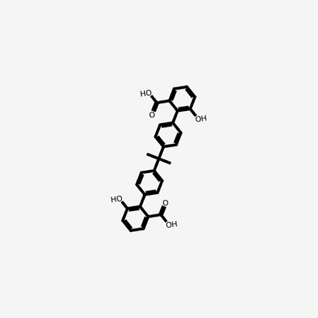 CC(C)(c1ccc(-c2c(O)cccc2C(=O)O)cc1)c1ccc(-c2c(O)cccc2C(=O)O)cc1